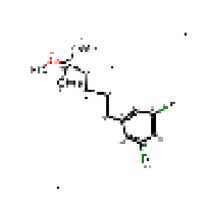 CCO[Si](CCCCc1cc(F)cc(F)c1)(OC)OC